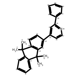 CC1(C)c2ccccc2C(C)(C)c2cc(-c3ccnc(-c4ccccc4)c3)ccc21